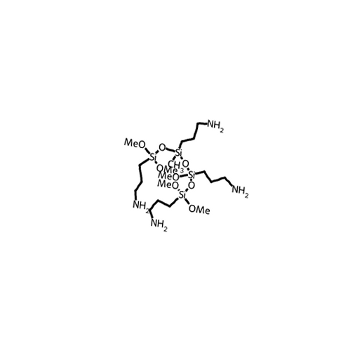 CO[Si](CCCN)(OC)O[Si](C)(CCCN)O[Si](CCCN)(OC)O[Si](CCCN)(OC)OC